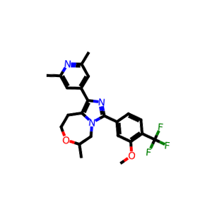 COc1cc(-c2nc(-c3cc(C)nc(C)c3)c3n2CC(C)OCC3)ccc1C(F)(F)F